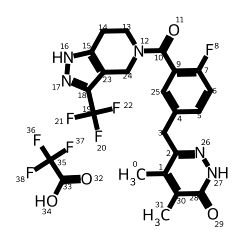 Cc1c(Cc2ccc(F)c(C(=O)N3CCc4[nH]nc(C(F)(F)F)c4C3)c2)n[nH]c(=O)c1C.O=C(O)C(F)(F)F